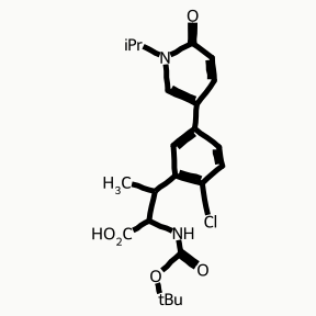 CC(c1cc(-c2ccc(=O)n(C(C)C)c2)ccc1Cl)C(NC(=O)OC(C)(C)C)C(=O)O